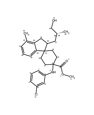 COC(=O)C1(Nc2cccc(Cl)c2)CCC2(CC1)c1cccc(C)c1CC2C[C@@H](C)CO